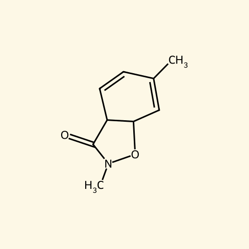 CC1=CC2ON(C)C(=O)C2C=C1